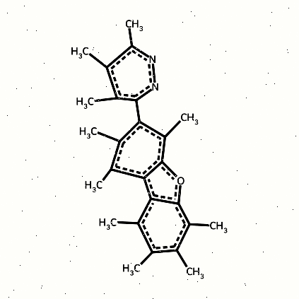 Cc1nnc(-c2c(C)c(C)c3c(oc4c(C)c(C)c(C)c(C)c43)c2C)c(C)c1C